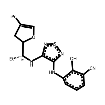 CC[C@@H](Nc1nsnc1Nc1cccc(C#N)c1O)C1CC(C(C)C)=CO1